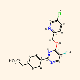 O=C(O)CC1CC=C(c2ncc(F)c(OCc3ccc(Cl)cn3)n2)CC1